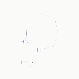 O=C(O)N1CCCCCN1